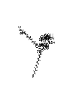 CCCCCCCCCCCCCCCC(=O)O[C@@H](COP(=O)(O)OC1C(O)[C@H](OP(=O)(O)O)C(OP(=O)(O)O)[C@H](O)[C@@H]1O)CC(=O)OCCCCCCCCCCSC(=O)CCC